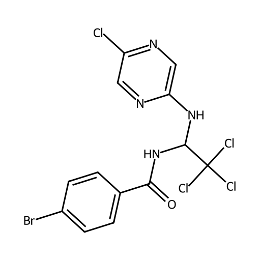 O=C(NC(Nc1cnc(Cl)cn1)C(Cl)(Cl)Cl)c1ccc(Br)cc1